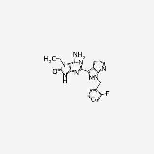 CCn1c(=O)[nH]c2nc(-c3nn(Cc4ccccc4F)c4ncccc34)nc(N)c21